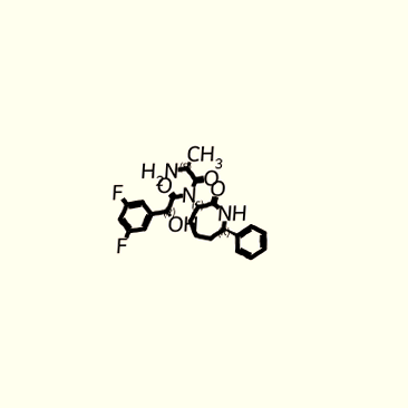 C[C@H](N)C(=O)N(C(=O)[C@H](O)c1cc(F)cc(F)c1)[C@H]1CCC[C@H](c2ccccc2)NC1=O